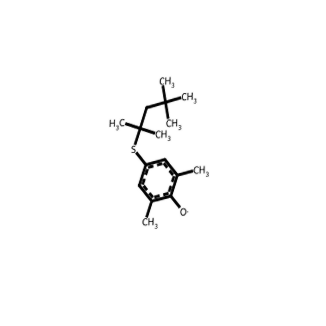 Cc1cc(SC(C)(C)CC(C)(C)C)cc(C)c1[O]